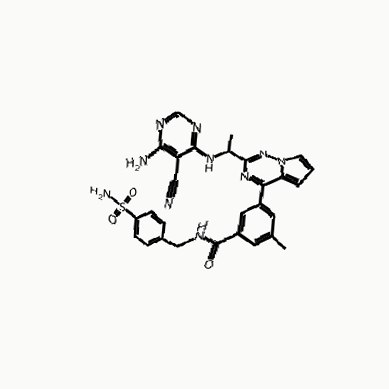 Cc1cc(C(=O)NCc2ccc(S(N)(=O)=O)cc2)cc(-c2nc(C(C)Nc3ncnc(N)c3C#N)nn3cccc23)c1